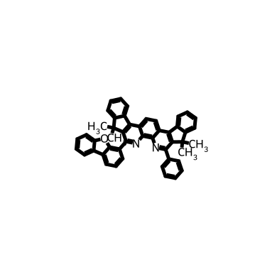 CC1(C)c2ccccc2-c2c1c(-c1ccccc1)nc1c2ccc2c3c(c(-c4cccc5c4oc4ccccc45)nc21)C(C)(C)c1ccccc1-3